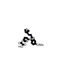 COc1ccc2c(c1)nc(/C=C/c1ccsc1)n2-c1ccccn1.O=C(O)C(=O)O